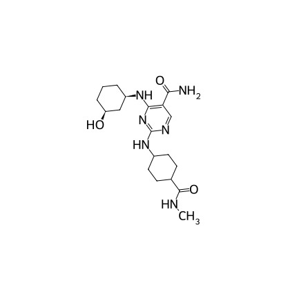 CNC(=O)C1CCC(Nc2ncc(C(N)=O)c(N[C@@H]3CCC[C@H](O)C3)n2)CC1